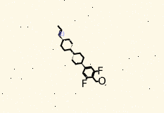 C/C=C/[C@H]1CC[C@H]([C@H]2CC[C@H](c3cc(F)c(COC)c(F)c3)CC2)CC1